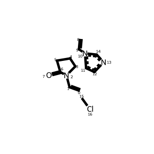 C=CN1CCCC1=O.C=Cn1ccnc1.CCl